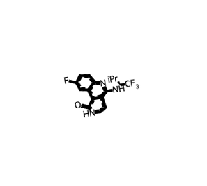 CC(C)[C@H](Nc1nc2ccc(F)cc2c2c(=O)[nH]ccc12)C(F)(F)F